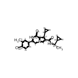 Cc1cc(-c2cn3cc(C(=O)N[C@@H](C)C4CC4)c(C4CC4)c3c(=O)[nH]2)ccc1Cl